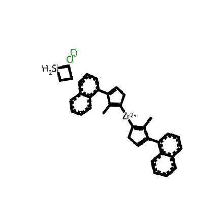 C1C[SiH2]C1.CC1=[C]([Zr+2][C]2=C(C)C(c3cccc4ccccc34)=CC2)CC=C1c1cccc2ccccc12.[Cl-].[Cl-]